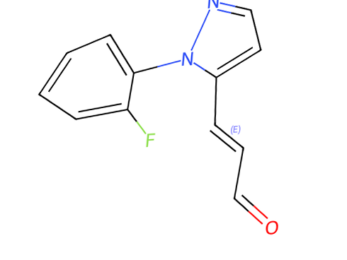 O=C/C=C/c1ccnn1-c1ccccc1F